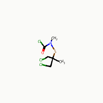 CN(SC(C)(CCl)CCl)C(=O)Cl